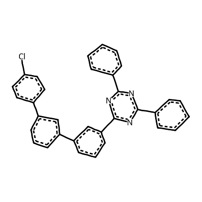 Clc1ccc(-c2cccc(-c3cccc(-c4nc(-c5ccccc5)nc(-c5ccccc5)n4)c3)c2)cc1